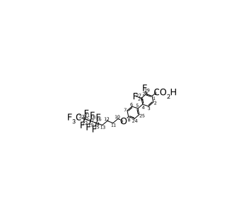 O=C(O)c1ccc(-c2ccc(OCCCCC(F)(F)C(F)(F)C(F)(F)C(F)(F)F)cc2)c(F)c1F